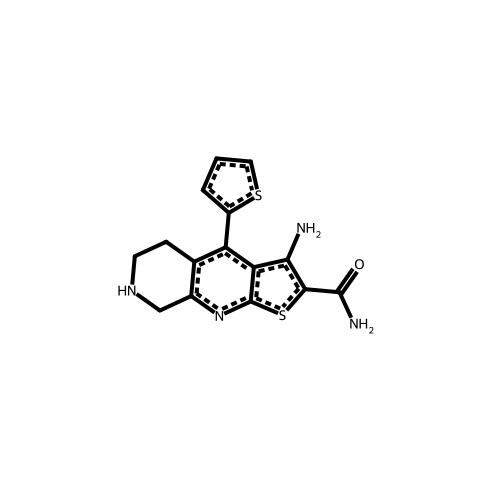 NC(=O)c1sc2nc3c(c(-c4cccs4)c2c1N)CCNC3